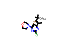 COC(C)(C)c1sc2c(N3CCOCC3)nc(Cl)nc2c1C